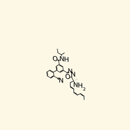 C\C=C/C=C\C=C\C[C@](C)(N)c1nnc(-c2cc(C(=O)NC(C)CC)cc(-c3ccccc3C#N)c2)o1